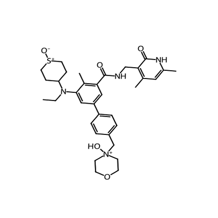 CCN(c1cc(-c2ccc(C[N+]3(O)CCOCC3)cc2)cc(C(=O)NCc2c(C)cc(C)[nH]c2=O)c1C)C1CC[S+]([O-])CC1